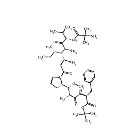 CC[C@H](C)[C@@H](C(C)CC(=O)N1CCC[C@H]1[C@H](OC)[C@@H](C)C(=O)N[C@@H](Cc1ccccc1)C(=O)OC(C)(C)C)N(C)C(=O)[C@@H](NC(=O)C(C)(C)N)C(C)C